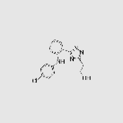 OCCn1nnc(-c2ccccc2Nc2ccc(Cl)cc2)n1